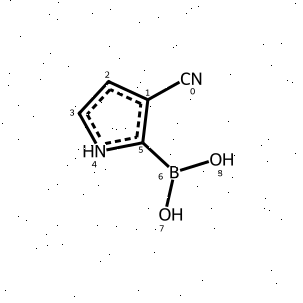 N#Cc1cc[nH]c1B(O)O